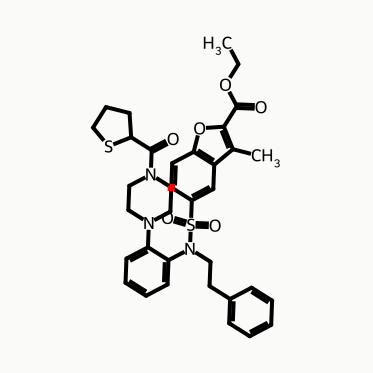 CCOC(=O)c1oc2ccc(S(=O)(=O)N(CCc3ccccc3)c3ccccc3N3CCN(C(=O)C4CCCS4)CC3)cc2c1C